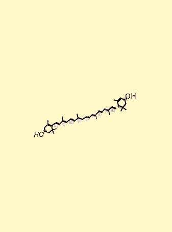 CC1=C[C@H](O)CC(C)(C)[C@@H]1/C=C/C(C)=C/C=C/C(C)=C/C=C/C=C(C)/C=C/C=C(C)/C=C/C1=C(C)C[C@@H](O)CC1(C)C